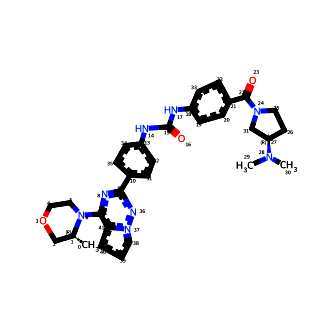 C[C@@H]1COCCN1c1nc(-c2ccc(NC(=O)Nc3ccc(C(=O)N4CC[C@@H](N(C)C)C4)cc3)cc2)nn2cccc12